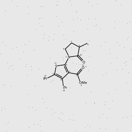 COC(=O)c1c(N2CCC(C)C2=O)sc(C(C)C)c1C(C)C